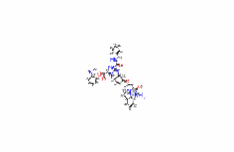 CN(C)c1ccccc1OC(=O)CN1Cc2ccc(OCCC(C(N)=O)N3CCc4ccccc43)cc2N=C1NC(=O)NCc1ccccc1